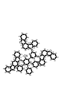 N#Cc1c(-c2nc(-n3c4ccccc4c4c5c(ccc43)oc3ccccc35)cc(-n3c4ccccc4c4c5c(ccc43)oc3ccccc35)n2)c(-c2ccccc2)c(-c2ccccc2)c(-c2ccccc2)c1-n1c2ccccc2c2cc3c(cc21)sc1ccccc13